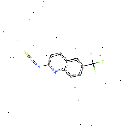 FC(F)(F)c1ccc2nc(N=C=S)ccc2c1